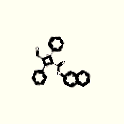 O=C[C@H]1[C@H](c2ccccc2)[C@H](C(=O)Oc2ccc3ccccc3c2)[C@H]1c1ccccc1